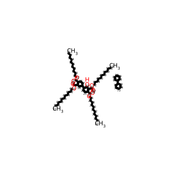 CCCCCCCCCCCCOC(=O)c1ccc(-c2ccc(C(=O)OCCCCCCCCCCCC)c(C(=O)OCCCCCCCCCCCC)c2O)cc1C(=O)OCCCCCCCCCCCC.c1ccc(-c2ccccc2)cc1